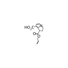 C=CCOC(=O)C1CCn2ccc(C(=O)O)c21